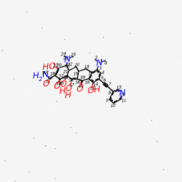 CN(C)c1cc(C#Cc2cccnc2)c(O)c2c1CC1CC3[C@H](N(C)C)C(O)=C(C(N)=O)C(=O)[C@@]3(O)C(O)=C1C2=O